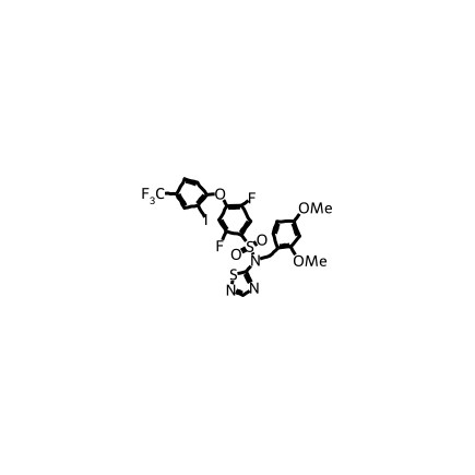 COc1ccc(CN(c2ncns2)S(=O)(=O)c2cc(F)c(Oc3ccc(C(F)(F)F)cc3I)cc2F)c(OC)c1